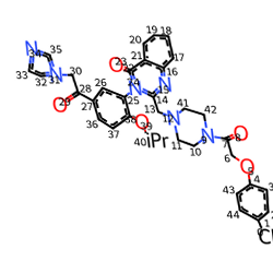 Cc1ccc(OCC(=O)N2CCN(Cc3nc4ccccc4c(=O)n3-c3cc(C(=O)Cn4ccnc4)ccc3OC(C)C)CC2)cc1